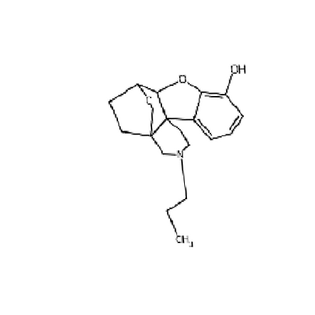 CCCN1CCC23c4cccc(O)c4OC2C2CCC3(CC2)C1